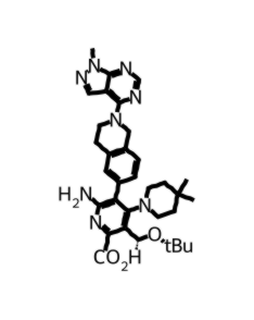 Cc1nc(N)c(-c2ccc3c(c2)CCN(c2ncnc4c2cnn4C)C3)c(N2CCC(C)(C)CC2)c1[C@H](OC(C)(C)C)C(=O)O